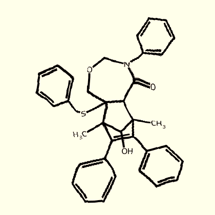 CC12C(c3ccccc3)=C(c3ccccc3)C(C)(C1O)C1(Sc3ccccc3)COCN(c3ccccc3)C(=O)C21